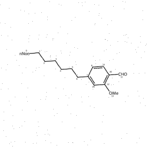 CCCCCCCCCCCCCCCc1ccc(C=O)c(OC)c1